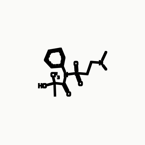 CN(C)CCS(=O)(=O)N(C(=O)C(C)(O)C(F)(F)F)c1ccccc1